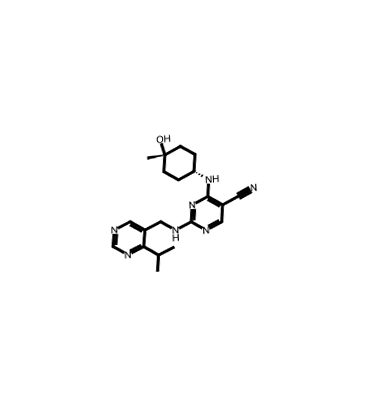 CC(C)c1ncncc1CNc1ncc(C#N)c(N[C@H]2CC[C@@](C)(O)CC2)n1